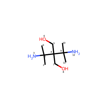 CC(C)(N)C(CO)(CO)C(C)(C)N